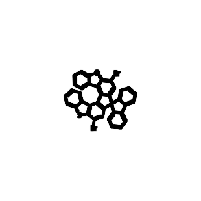 Brc1cc2c(c3c1oc1ccccc13)-c1c(cc(Br)c3sc4ccccc4c13)C21c2ccccc2-c2ccccc21